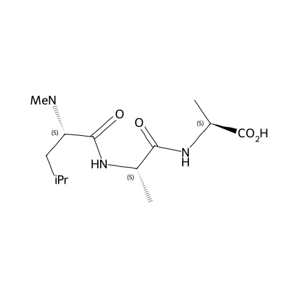 CN[C@@H](CC(C)C)C(=O)N[C@@H](C)C(=O)N[C@@H](C)C(=O)O